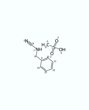 CS(=O)(=O)O.N#CNCc1ccccc1